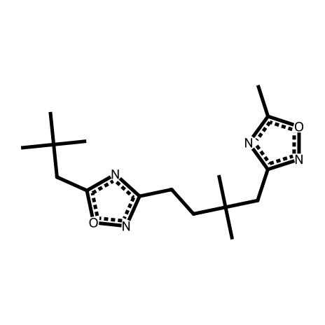 Cc1nc(CC(C)(C)CCc2noc(CC(C)(C)C)n2)no1